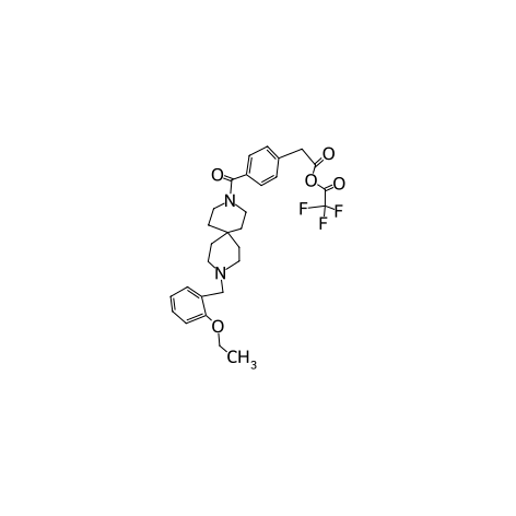 CCOc1ccccc1CN1CCC2(CC1)CCN(C(=O)c1ccc(CC(=O)OC(=O)C(F)(F)F)cc1)CC2